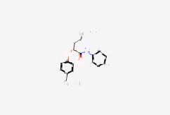 CCCCCCCCCCCCC(Oc1ccc(CCCC)cc1)C(=O)Nc1cc[c]cc1